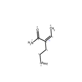 C/C=C(/CCCCCCC)C(N)=O